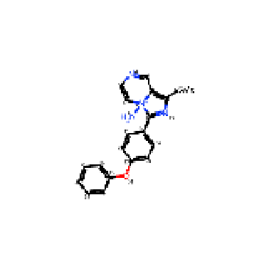 CSC1=C2C=NC=C[N+]2(N)C(c2ccc(Oc3ccccc3)cc2)=N1